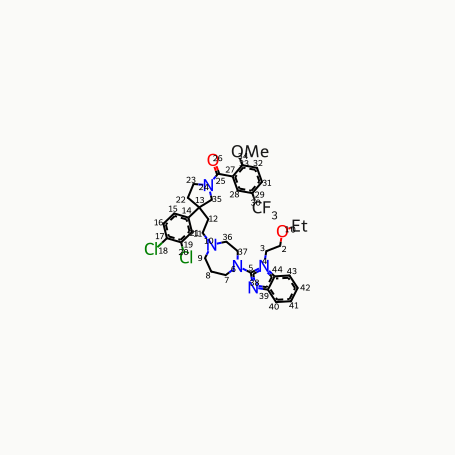 CCOCCn1c(N2CCCN(CCC3(c4ccc(Cl)c(Cl)c4)CCN(C(=O)c4cc(C(F)(F)F)ccc4OC)C3)CC2)nc2ccccc21